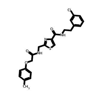 Cc1ccc(OCC(=O)NCc2nc(C(=O)NCCc3cccc(Cl)c3)cs2)cc1